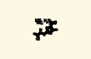 CC(=O)NCc1nc(C)c(C(N)=O)o1.Cl.Cl